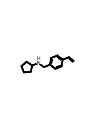 C=Cc1ccc(CNC2CCCC2)cc1